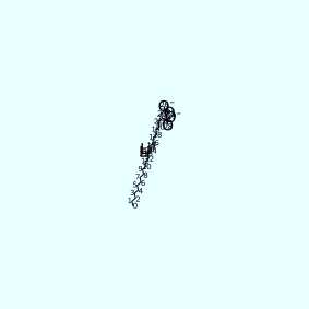 CCCCCCCCCCCCCCCCCCCCC=CC(CC(=O)[O-])C(=O)[O-].[Li+].[Li+]